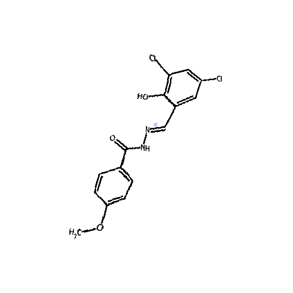 COc1ccc(C(=O)N/N=C/c2cc(Cl)cc(Cl)c2O)cc1